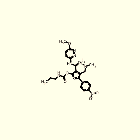 CCCNC(=O)Oc1sc(-c2ccc([N+](=O)[O-])cc2)c(CN(C)C)c1C(=O)Nc1ccc(OC)nn1